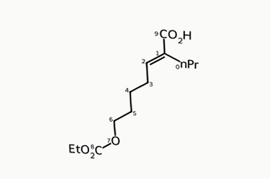 CCC/C(=C\CCCCOC(=O)OCC)C(=O)O